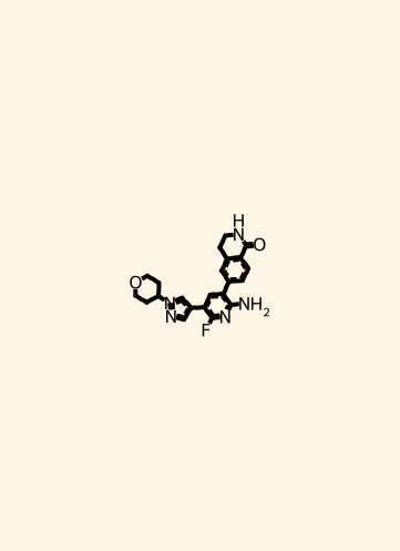 Nc1nc(F)c(-c2cnn(C3CCOCC3)c2)cc1-c1ccc2c(c1)CCNC2=O